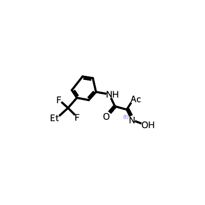 CCC(F)(F)c1cccc(NC(=O)/C(=N/O)C(C)=O)c1